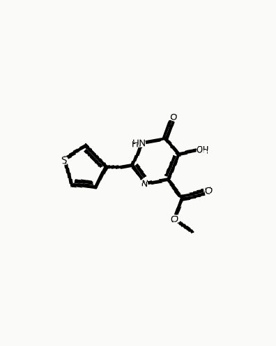 COC(=O)c1nc(-c2ccsc2)[nH]c(=O)c1O